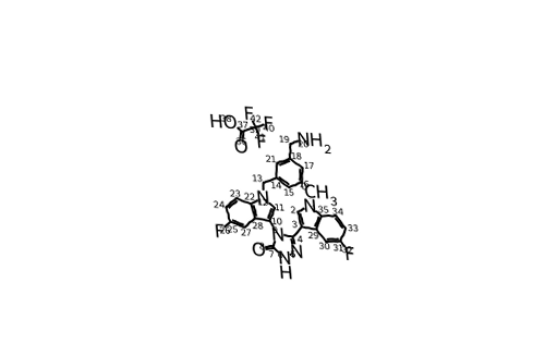 Cn1cc(-c2n[nH]c(=O)n2-c2cn(Cc3cccc(CN)c3)c3ccc(F)cc23)c2cc(F)ccc21.O=C(O)C(F)(F)F